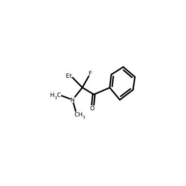 CCC(F)(C(=O)c1ccccc1)N(C)C